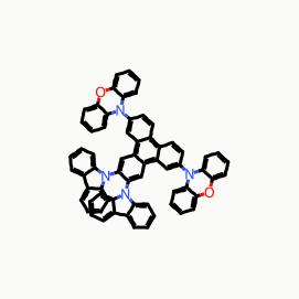 c1ccc2c(c1)Oc1ccccc1N2c1ccc2c3ccc(N4c5ccccc5Oc5ccccc54)cc3c3cc(-n4c5ccccc5c5ccccc54)c(-n4c5ccccc5c5ccccc54)cc3c2c1